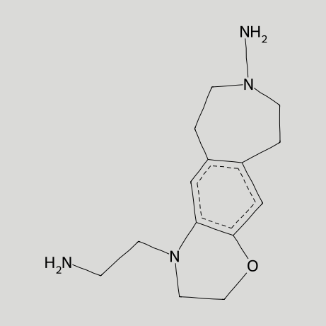 NCCN1CCOc2cc3c(cc21)CCN(N)CC3